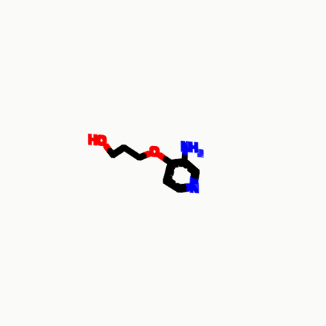 Nc1cnccc1OCCCO